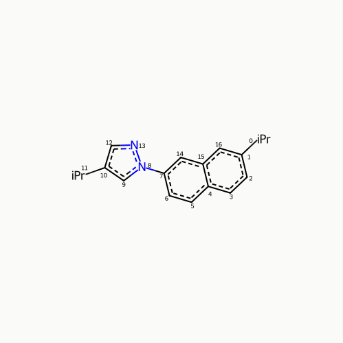 CC(C)c1ccc2ccc(-n3cc(C(C)C)cn3)cc2c1